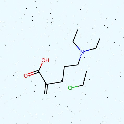 C=C(CCCN(CC)CC)C(=O)O.CCCl